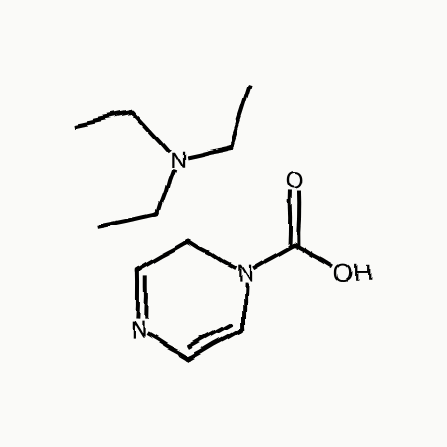 CCN(CC)CC.O=C(O)N1C=CN=CC1